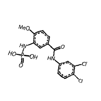 COc1ccc(C(=O)Nc2ccc(Cl)c(Cl)c2)cc1NP(=O)(O)O